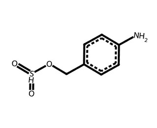 Nc1ccc(CO[SH](=O)=O)cc1